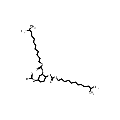 CC(C)CCCCCCCCCCOC(=O)OC1CCC(OC(=O)O)CC1OC(=O)OCCCCCCCCCCC(C)C